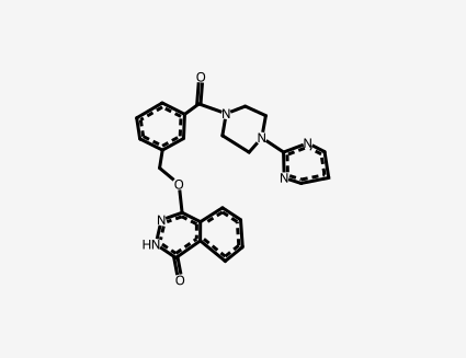 O=C(c1cccc(COc2n[nH]c(=O)c3ccccc23)c1)N1CCN(c2ncccn2)CC1